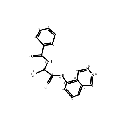 CC(NC(=O)c1ccccc1)C(=O)Nc1cccc2cnncc12